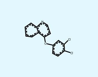 Clc1ccc(Oc2ccnc3ccccc23)cc1Cl